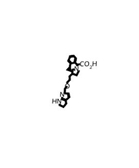 O=C(O)C(c1ccccc1C1CC1)N1CCC(CCCOCc2ccc3c(n2)NCCC3)C1